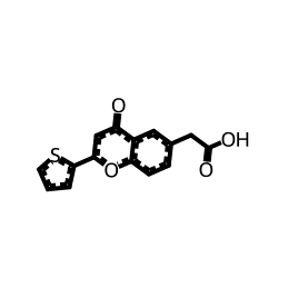 O=C(O)Cc1ccc2oc(-c3cccs3)cc(=O)c2c1